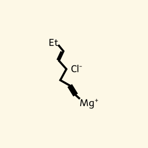 CC/C=C/CCC#[C][Mg+].[Cl-]